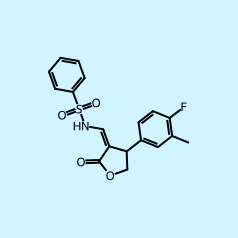 Cc1cc(C2COC(=O)/C2=C\NS(=O)(=O)c2ccccc2)ccc1F